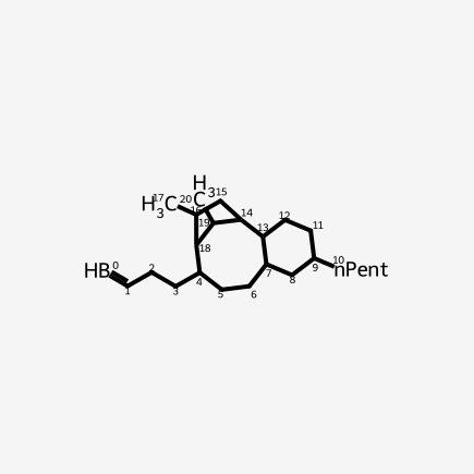 B=CCCC1CCC2CC(CCCCC)CCC2C2CC(C)C1C2C